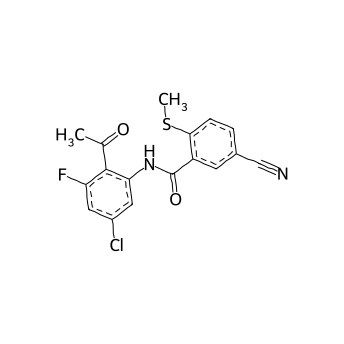 CSc1ccc(C#N)cc1C(=O)Nc1cc(Cl)cc(F)c1C(C)=O